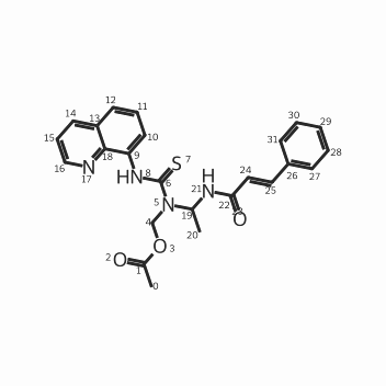 CC(=O)OCN(C(=S)Nc1cccc2cccnc12)C(C)NC(=O)/C=C/c1ccccc1